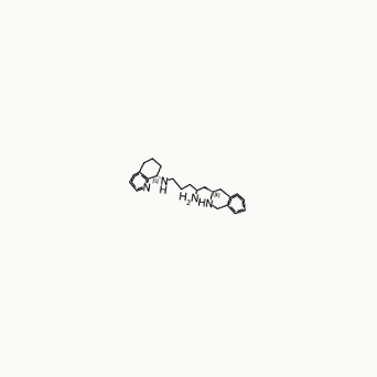 NC(CCCN[C@H]1CCCc2cccnc21)C[C@H]1Cc2ccccc2CN1